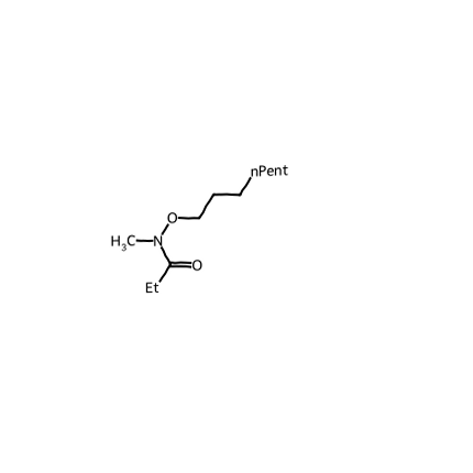 CCCCCCCCON(C)C(=O)CC